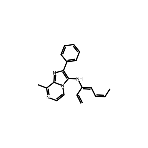 C=C/C(=C\C=C/C)Nc1c(-c2ccccc2)nc2c(C)nccn12